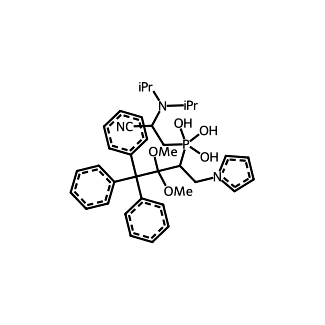 COC(OC)(C(Cn1cccc1)P(O)(O)(O)CC(C#N)N(C(C)C)C(C)C)C(c1ccccc1)(c1ccccc1)c1ccccc1